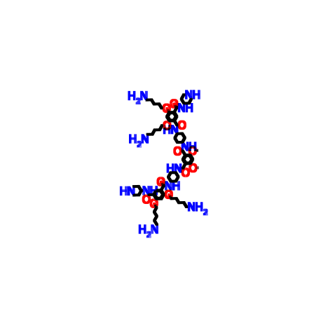 COc1cc(OC)c(C(=O)N[C@H]2CC[C@@H](NC(=O)c3cc(C(=O)NC4CCNCC4)c(OCCCCCN)cc3OCCCCCN)CC2)cc1C(=O)N[C@H]1CC[C@@H](NC(=O)c2cc(C(=O)NC3CCNCC3)c(OCCCCCN)cc2OCCCCCN)CC1